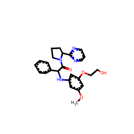 COc1cc(NC(C(=O)N2CCCC2c2ncccn2)c2ccccc2)cc(OCCO)c1